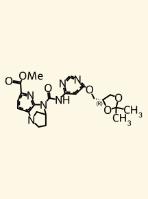 COC(=O)c1ccc2c(n1)N(C(=O)Nc1cc(OC[C@@H]3COC(C)(C)O3)ncn1)C1CCN2C1